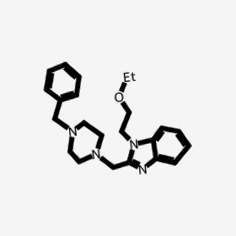 CCOCCn1c(CN2CCN(Cc3ccccc3)CC2)nc2ccccc21